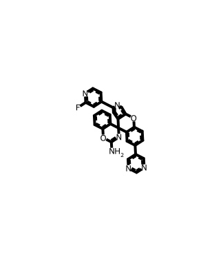 NC1=NC2(c3ccccc3O1)c1cc(-c3cncnc3)ccc1Oc1cnc(-c3ccnc(F)c3)cc12